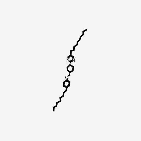 CCCCCCCCCCc1cnc([C@H]2CC[C@H](COc3ccc(CCCCCCCCC)cc3)CC2)nc1